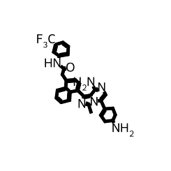 Cc1nc(-c2ccc(CC(=O)Nc3cccc(C(F)(F)F)c3)c3ccccc23)c2c(N)ncc(C3=CCC(N)CC3)n12